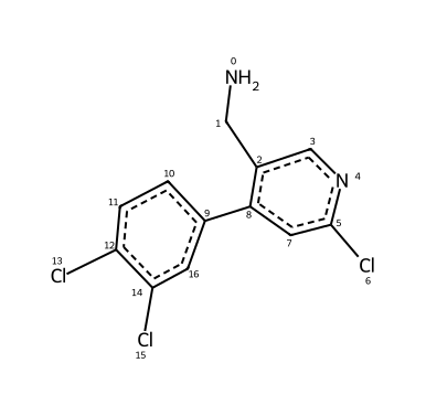 NCc1cnc(Cl)cc1-c1ccc(Cl)c(Cl)c1